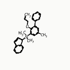 C=CCOc1c(-c2ccccc2)cc(C)cc1[Si](C)(C)C1C=Cc2ccccc21